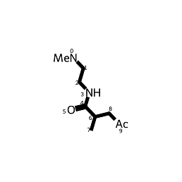 CNCCNC(=O)C(C)CC(C)=O